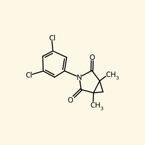 CC12CC1(C)C(=O)N(c1cc(Cl)cc(Cl)c1)C2=O